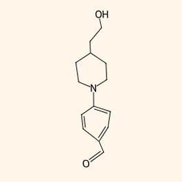 O=Cc1ccc(N2CCC(CCO)CC2)cc1